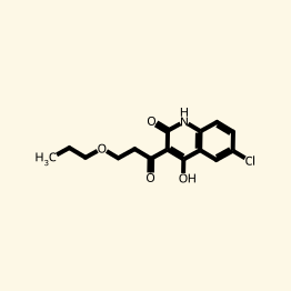 CCCOCCC(=O)c1c(O)c2cc(Cl)ccc2[nH]c1=O